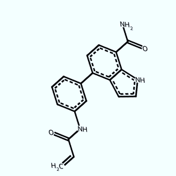 C=CC(=O)Nc1cccc(-c2ccc(C(N)=O)c3[nH]ccc23)c1